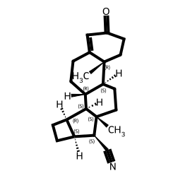 C[C@]12CC[C@H]3[C@@H](CCC4=CC(=O)CC[C@@]43C)[C@@H]1[C@@H]1CC[C@@H]1[C@@H]2C#N